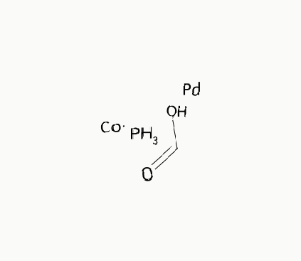 O=CO.P.[Co].[Pd]